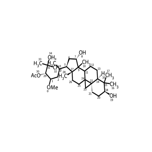 COC(C[C@@H](C)[C@H]1C[C@H](O)C2(C)C3CC[C@H]4C(C)(C)[C@@H](O)CC[C@@]45CC35CC[C@]12C)[C@H](OC(C)=O)C(C)(C)O